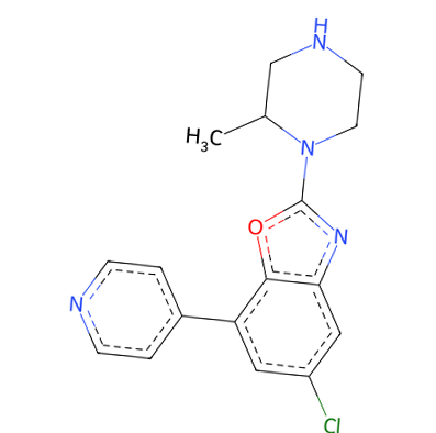 CC1CNCCN1c1nc2cc(Cl)cc(-c3ccncc3)c2o1